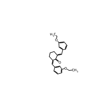 CCOc1cccc(/C=C2/CCC/C(=C\c3cccc(OCC)c3)C2=O)c1